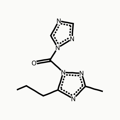 CCCc1nc(C)nn1C(=O)n1cncn1